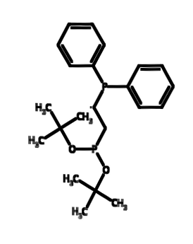 CC(C)(C)OP(C[CH]P(c1ccccc1)c1ccccc1)OC(C)(C)C